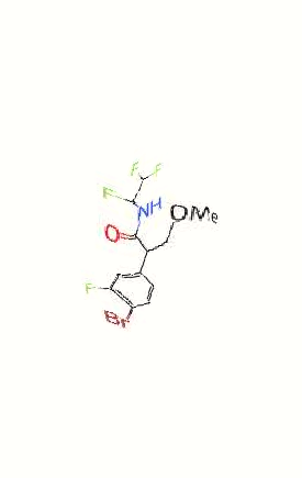 COCC(C(=O)NC(F)C(F)F)c1ccc(Br)c(F)c1